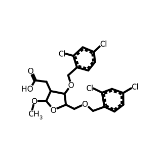 COC1OC(COCc2ccc(Cl)cc2Cl)C(OCc2ccc(Cl)cc2Cl)C1CC(=O)O